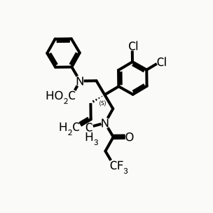 C=CC[C@](CN(C)C(=O)CC(F)(F)F)(CN(C(=O)O)c1ccccc1)c1ccc(Cl)c(Cl)c1